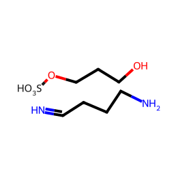 N=CCCCN.O=S(=O)(O)OCCCO